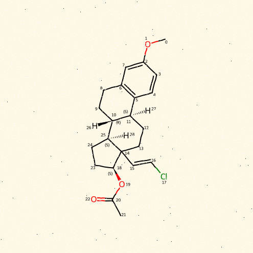 COc1ccc2c(c1)CC[C@@H]1[C@@H]2CCC2(C=CCl)[C@@H](OC(C)=O)CC[C@@H]12